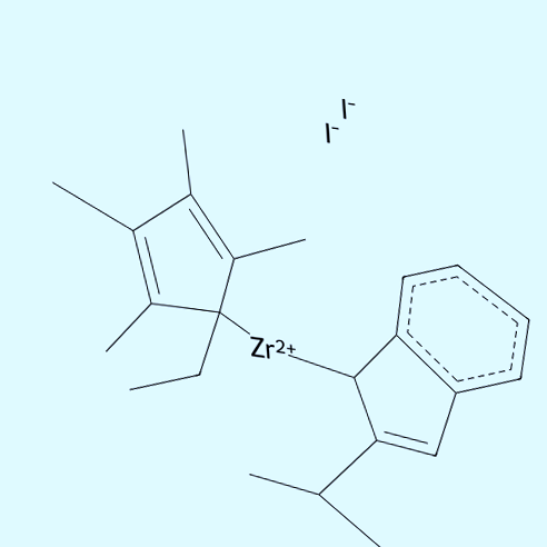 CC[C]1([Zr+2][CH]2C(C(C)C)=Cc3ccccc32)C(C)=C(C)C(C)=C1C.[I-].[I-]